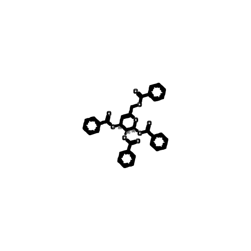 O=C(OCC1=C[C@H](OC(=O)c2ccccc2)[C@@H](OC(=O)c2ccccc2)[C@H](OC(=O)c2ccccc2)O1)c1ccccc1